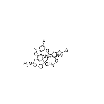 CCOc1c(CC(N)=O)cc([C@@](O)(CNC(=O)c2cc(OC3CC3)n3nc(C4CC4)cc3c2)C2CCCC2)nc1-c1ccc(F)cc1